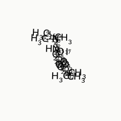 CCCC[N+](C)(CCCC)CCCNC(=O)OC1CCC2(CC1)OOC1(CCC(C(C)(C)C)CC1)OO2.[I-]